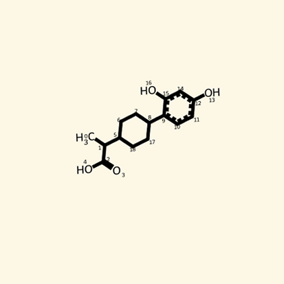 CC(C(=O)O)C1CCC(c2ccc(O)cc2O)CC1